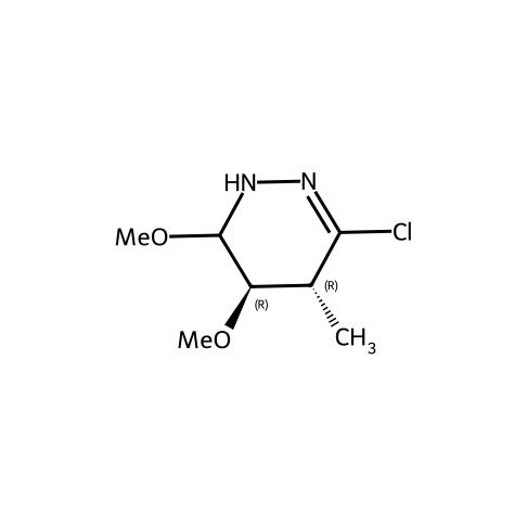 COC1NN=C(Cl)[C@H](C)[C@H]1OC